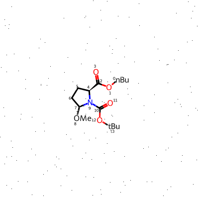 CCCCOC(=O)[C@@H]1CCC(OC)N1C(=O)OC(C)(C)C